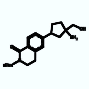 CCCCCCN1CCc2cc(C3CCC(N)(CO)C3)ccc2C1=O